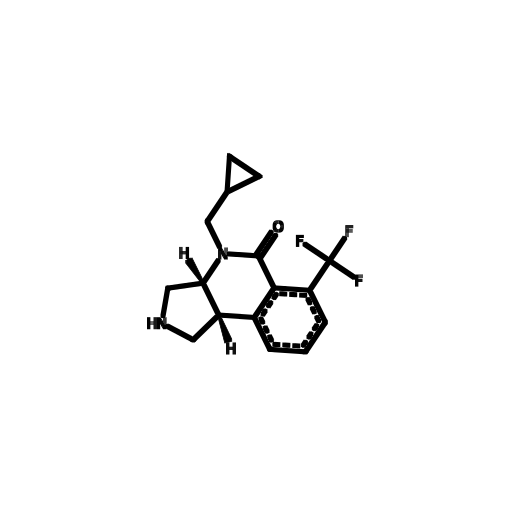 O=C1c2c(cccc2C(F)(F)F)[C@@H]2CNC[C@@H]2N1CC1CC1